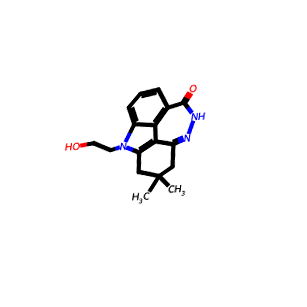 CC1(C)CC2=NNC(=O)c3cccc4c3c2c(n4CCO)C1